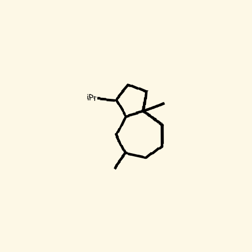 CC1CCCC2(C)CCC(C(C)C)C2C1